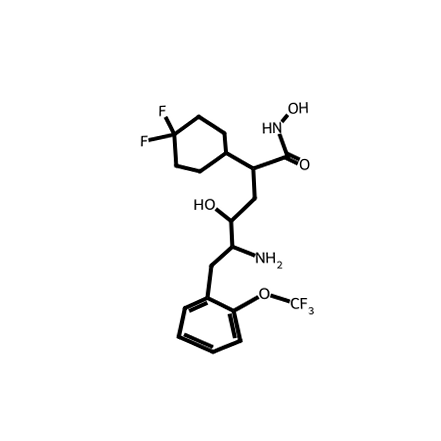 NC(Cc1ccccc1OC(F)(F)F)C(O)CC(C(=O)NO)C1CCC(F)(F)CC1